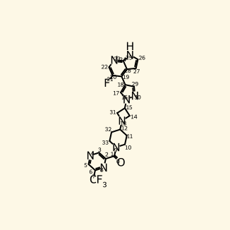 O=C(c1cncc(C(F)(F)F)n1)N1CCC(N2CC(n3cc(-c4c(F)cnc5[nH]ccc45)cn3)C2)CC1